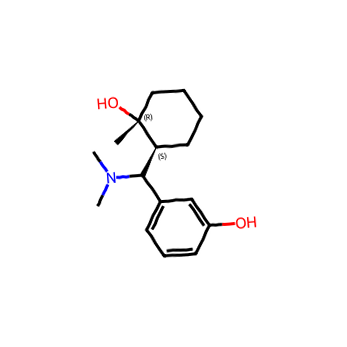 CN(C)C(c1cccc(O)c1)[C@@H]1CCCC[C@@]1(C)O